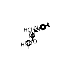 CC(C)c1ccc(-n2cc(-n3cc(C(=O)N4CCN[C@@H](C)C4)nn3)cn2)cc1.Cl